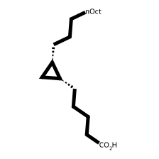 CCCCCCCCCCC[C@H]1C[C@H]1CCCCC(=O)O